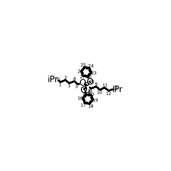 CC(C)CCCCCO[PH](CCCCCC(C)C)(Oc1ccccc1)Oc1ccccc1